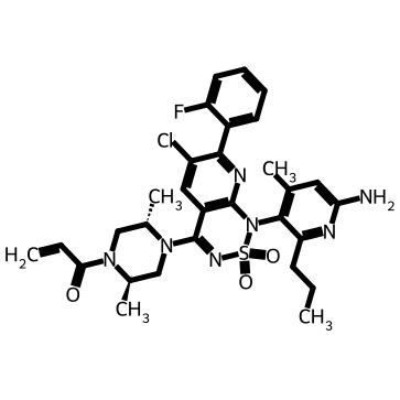 C=CC(=O)N1C[C@H](C)N(C2=NS(=O)(=O)N(c3c(C)cc(N)nc3CCC)c3nc(-c4ccccc4F)c(Cl)cc32)C[C@H]1C